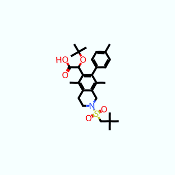 Cc1ccc(-c2c(C)c3c(c(C)c2C(OC(C)(C)C)C(=O)O)CCN(S(=O)(=O)CC(C)(C)C)C3)cc1